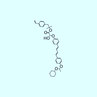 C=Cc1ccc(CC(C)(C)OC(=O)C(O)Oc2ccc(C=CC=Cc3ccc(OC(C)OC4CCCCC4)cc3)cc2)cc1